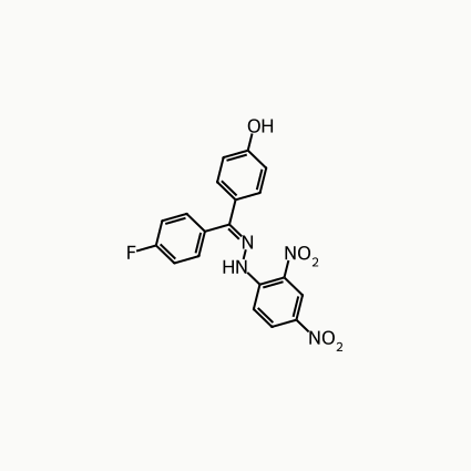 O=[N+]([O-])c1ccc(NN=C(c2ccc(O)cc2)c2ccc(F)cc2)c([N+](=O)[O-])c1